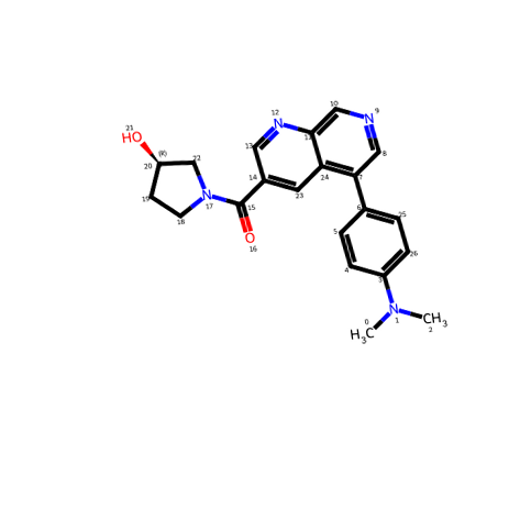 CN(C)c1ccc(-c2cncc3ncc(C(=O)N4CC[C@@H](O)C4)cc23)cc1